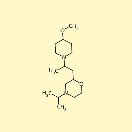 COC1CCN(C(C)CC2CN(C(C)C)CCO2)CC1